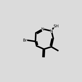 C=C1/C=C(Br)\C=N/N(S)/C=C\1C